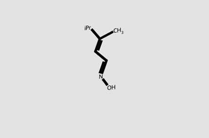 C/C(=C\C=N\O)C(C)C